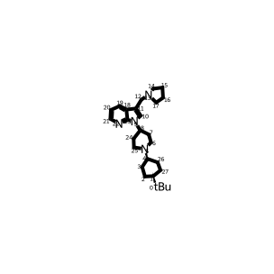 CC(C)(C)[C@H]1CC[C@@H](N2CCC(n3cc(CN4CCCC4)c4cccnc43)CC2)CC1